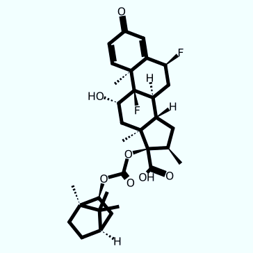 C[C@@H]1C[C@H]2[C@@H]3C[C@H](F)C4=CC(=O)C=C[C@]4(C)[C@@]3(F)[C@@H](O)C[C@]2(C)[C@@]1(OC(=O)O[C@H]1C[C@H]2CC[C@]1(C)C2(C)C)C(=O)O